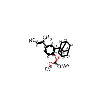 CCOC(OC)Oc1ccc(C(C)=CC#N)cc1C12CC3CC(CC(C3)C1)C2